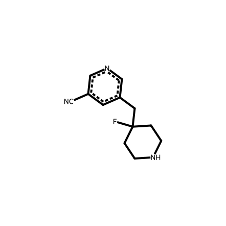 N#Cc1cncc(CC2(F)CCNCC2)c1